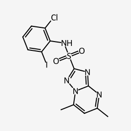 Cc1cc(C)n2nc(S(=O)(=O)Nc3c(Cl)cccc3I)nc2n1